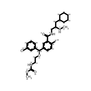 CNC(CNC(=O)c1cc([C@@H](OCCNC(=O)OC)c2cccc(Cl)c2)ccc1F)CC1CCCCC1